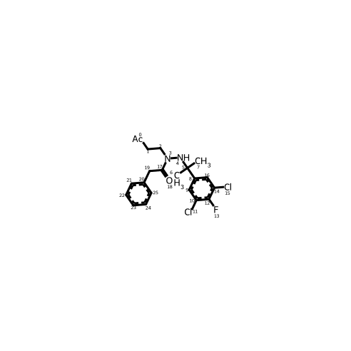 CC(=O)CCN(NC(C)(C)c1cc(Cl)c(F)c(Cl)c1)C(=O)Cc1ccccc1